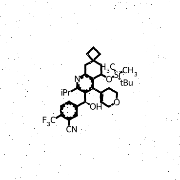 CC(C)c1nc2c(c(C3=CCOCC3)c1[C@@H](O)c1ccc(C(F)(F)F)c(C#N)c1)C(O[Si](C)(C)C(C)(C)C)CC1(CCC1)C2